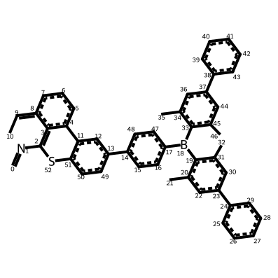 C=NC1=c2c(ccc/c2=C/C)-c2cc(-c3ccc(B(c4c(C)cc(-c5ccccc5)cc4C)c4c(C)cc(-c5ccccc5)cc4C)cc3)ccc2S1